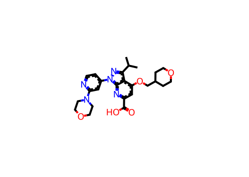 CC(C)c1nn(-c2ccnc(N3CCOCC3)c2)c2nc(C(=O)O)cc(OCC3CCOCC3)c12